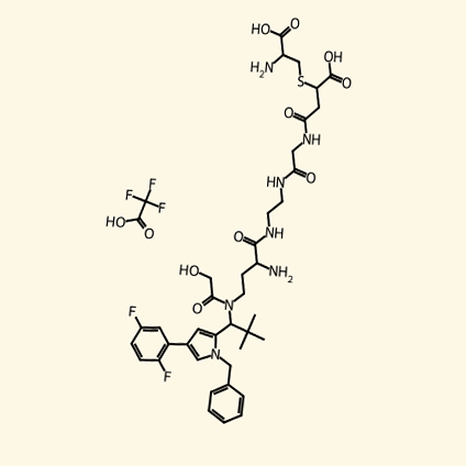 CC(C)(C)C(c1cc(-c2cc(F)ccc2F)cn1Cc1ccccc1)N(CCC(N)C(=O)NCCNC(=O)CNC(=O)CC(SCC(N)C(=O)O)C(=O)O)C(=O)CO.O=C(O)C(F)(F)F